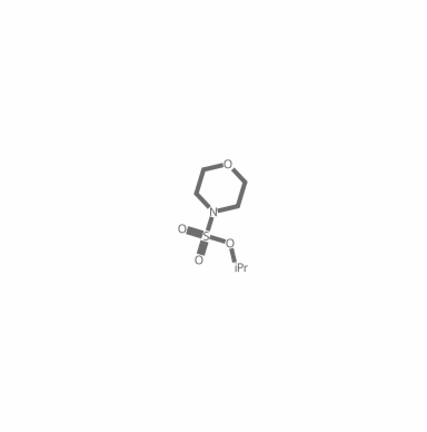 CC(C)OS(=O)(=O)N1CCOCC1